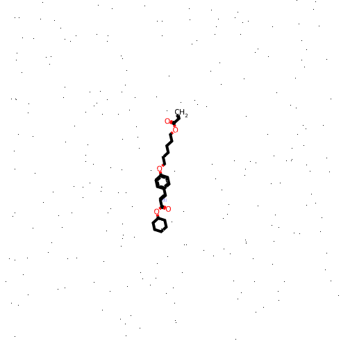 C=CC(=O)OCCCCCCOc1ccc(/C=C/C(=O)OC2CCCCC2)cc1